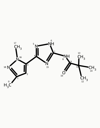 Cc1cc(-c2n[nH]c(NC(=O)C(C)(C)C)n2)n(C)n1